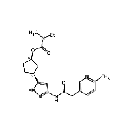 CCN(C)C(=O)O[C@@H]1CC[C@H](c2cc(NC(=O)Cc3ccc(C)nc3)n[nH]2)C1